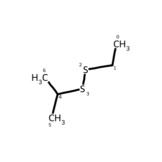 CCSSC(C)C